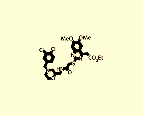 CCOC(=O)Cc1nc(SCC(=O)NCC2CN(Cc3ccc(Cl)c(Cl)c3)CCO2)nc2cc(OC)c(OC)cc12